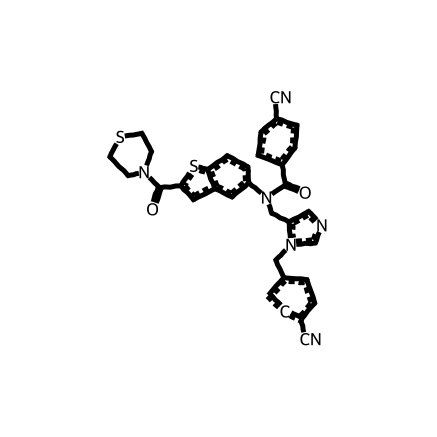 N#Cc1ccc(Cn2cncc2CN(C(=O)c2ccc(C#N)cc2)c2ccc3sc(C(=O)N4CCSCC4)cc3c2)cc1